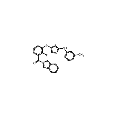 Cc1ccnc(Nc2ncc(Sc3ccnc(C(=O)n4cc5ccccc5c4)c3F)s2)c1